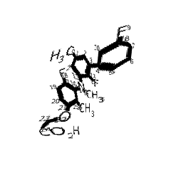 Cc1cc(-c2cccc(F)c2)c(F)c(N(C)c2c(F)ccc(OCC(=O)O)c2C)c1